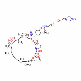 CCN1CCN(CCOCCOCCNC(=O)O[C@@H]2CC[C@@H](C[C@@H](N)[C@@H]3C[C@@H](O)[C@H](C)/C=C(\C)[C@@H](O)[C@@H](O)C(=O)[C@H](C)C[C@H](C)/C=C/C=C/C=C(\C)[C@@H](OC)C[C@@H]4CC[C@@H](C)[C@@](O)(O4)C(=O)C(O)N4CCCC[C@H]4C(=O)O3)C[C@H]2OC)CC1